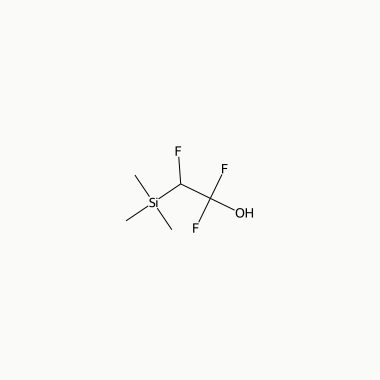 C[Si](C)(C)C(F)C(O)(F)F